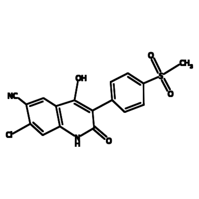 CS(=O)(=O)c1ccc(-c2c(O)c3cc(C#N)c(Cl)cc3[nH]c2=O)cc1